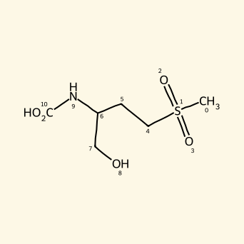 CS(=O)(=O)CCC(CO)NC(=O)O